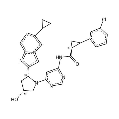 O=C(Nc1cc(N2C[C@H](O)C[C@@H]2c2cn3cc(C4CC4)ccc3n2)ncn1)[C@H]1CC1c1cccc(Cl)c1